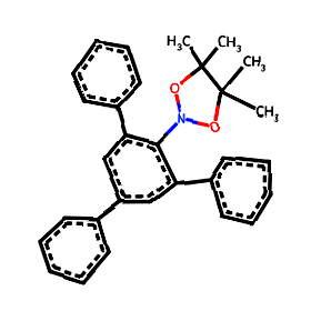 CC1(C)ON(c2c(-c3ccccc3)cc(-c3ccccc3)cc2-c2ccccc2)OC1(C)C